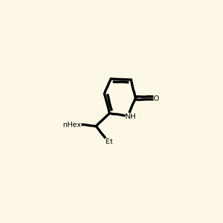 CCCCCCC(CC)c1cccc(=O)[nH]1